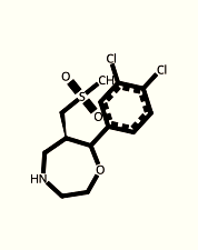 CS(=O)(=O)C[C@@H]1CNCCOC1c1ccc(Cl)c(Cl)c1